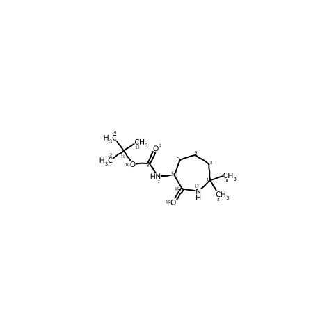 CC1(C)CCC[C@H](NC(=O)OC(C)(C)C)C(=O)N1